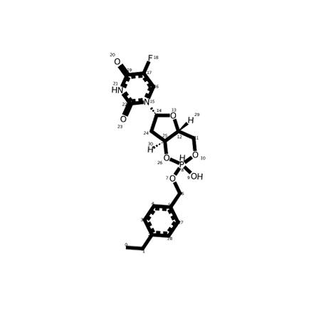 CCc1ccc(CO[PH]2(O)OC[C@H]3O[C@@H](n4cc(F)c(=O)[nH]c4=O)C[C@@H]3O2)cc1